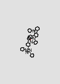 c1ccc(-c2nc(-c3ccc4c5ccccc5n(-c5ccccc5-n5c6ccccc6c6c5ccc5c7ccccc7n(-c7ccccc7)c56)c4c3)n(-c3ccccc3)n2)cc1